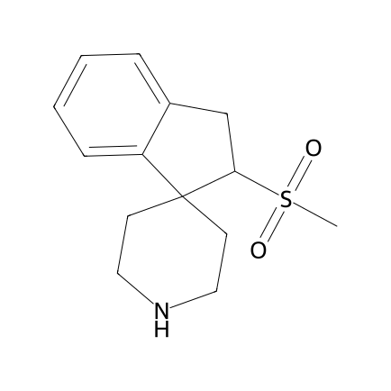 CS(=O)(=O)C1Cc2ccccc2C12CCNCC2